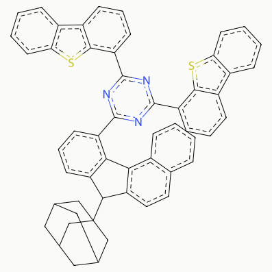 c1cc(-c2nc(-c3cccc4c3sc3ccccc34)nc(-c3cccc4c3sc3ccccc34)n2)c2c(c1)C(C13CC4CC(CC(C4)C1)C3)c1ccc3ccccc3c1-2